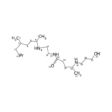 CC(C)CC(C)CCC(C)NCCNC(=O)CCC(C)NCCCO